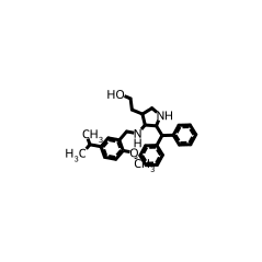 COc1ccc(C(C)C)cc1CNC1C(CCO)CNC1C(c1ccccc1)c1ccccc1